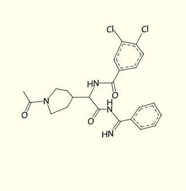 CC(=O)N1CCC(C(NC(=O)c2ccc(Cl)c(Cl)c2)C(=O)NC(=N)c2ccccc2)CC1